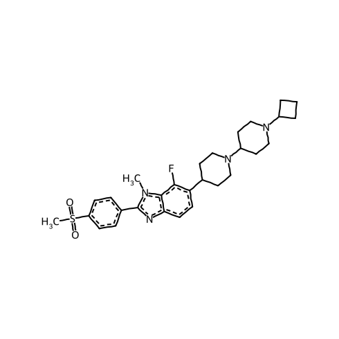 Cn1c(-c2ccc(S(C)(=O)=O)cc2)nc2ccc(C3CCN(C4CCN(C5CCC5)CC4)CC3)c(F)c21